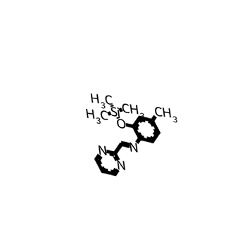 Cc1ccc(N=Cc2ncccn2)c(O[Si](C)(C)C)c1